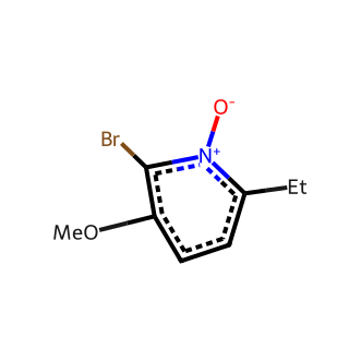 CCc1ccc(OC)c(Br)[n+]1[O-]